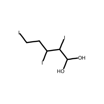 OC(O)C(I)C(I)CCI